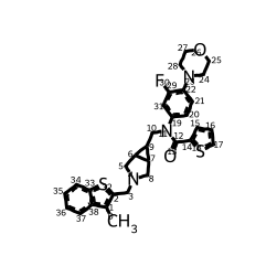 Cc1c(CN2CC3C(C2)C3CN(C(=O)c2cccs2)c2ccc(N3CCOCC3)c(F)c2)sc2ccccc12